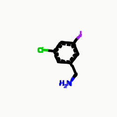 NCc1cc(Cl)cc(I)c1